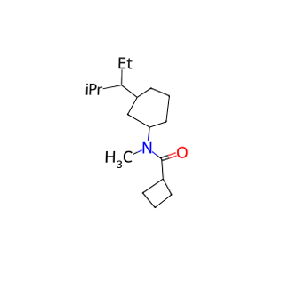 CCC(C(C)C)C1CCCC(N(C)C(=O)C2CCC2)C1